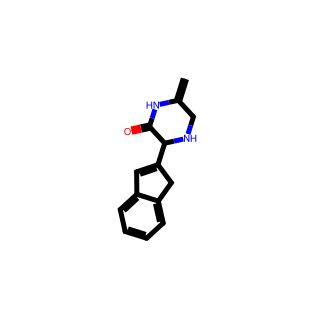 C=C1CNC(C2=Cc3ccccc3C2)C(=O)N1